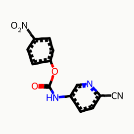 N#Cc1ccc(NC(=O)Oc2ccc([N+](=O)[O-])cc2)cn1